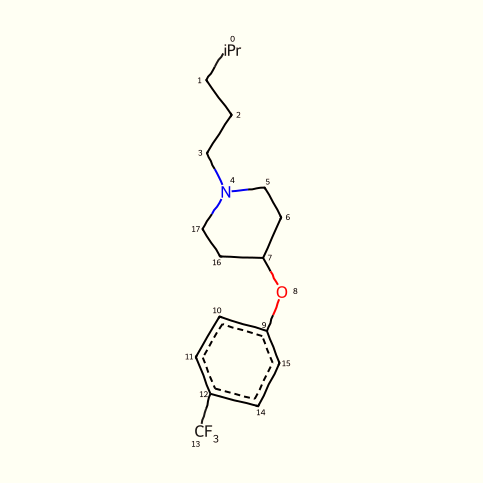 CC(C)CCCN1CCC(Oc2ccc(C(F)(F)F)cc2)CC1